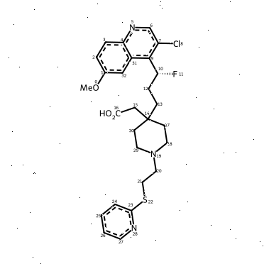 COc1ccc2ncc(Cl)c([C@H](F)CCC3(CC(=O)O)CCN(CCSc4ccccn4)CC3)c2c1